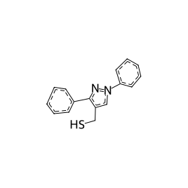 SCc1cn(-c2ccccc2)nc1-c1ccccc1